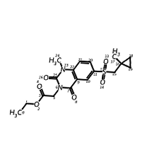 CCOC(=O)Cn1c(=O)c2cc(S(=O)(=O)CC3(C)CC3)ccc2n(C)c1=O